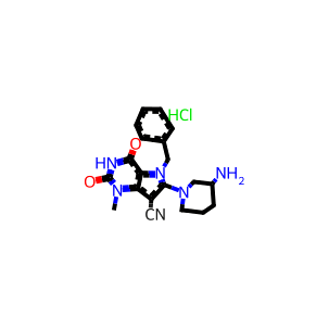 Cl.Cn1c(=O)[nH]c(=O)c2c1c(C#N)c(N1CCCC(N)C1)n2Cc1ccccc1